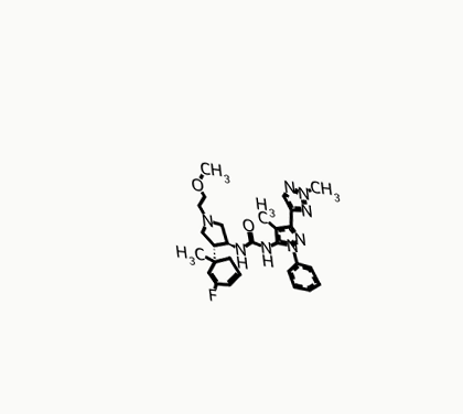 COCCN1C[C@@H](C2(C)C=C(F)C=CC2)[C@H](NC(=O)Nc2c(C)c(-c3cnn(C)n3)nn2-c2ccccc2)C1